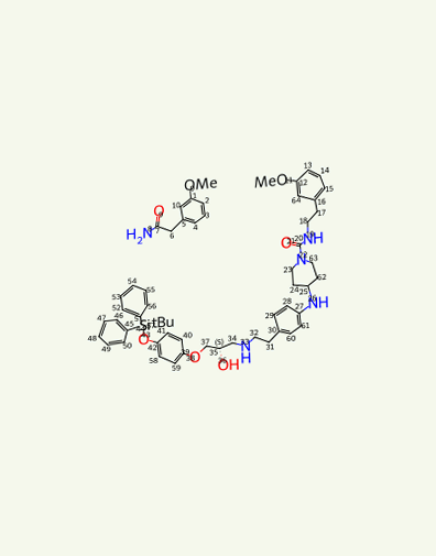 COc1cccc(CC(N)=O)c1.COc1cccc(CCNC(=O)N2CCC(Nc3ccc(CCNC[C@H](O)COc4ccc(O[Si](c5ccccc5)(c5ccccc5)C(C)(C)C)cc4)cc3)CC2)c1